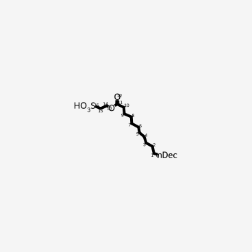 CCCCCCCCCCCCCCCCCCCCC(=O)OCCS(=O)(=O)O